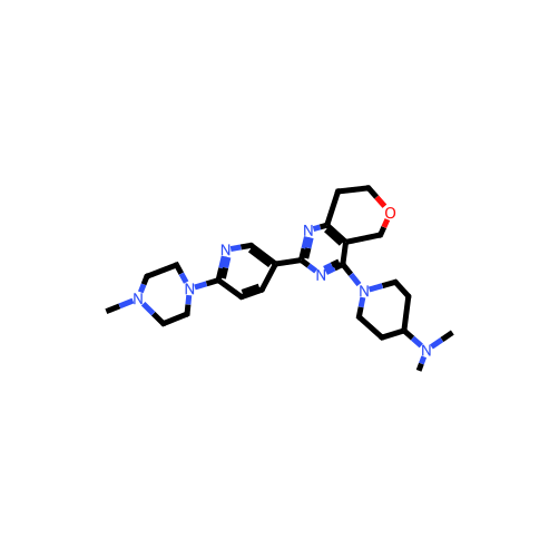 CN1CCN(c2ccc(-c3nc4c(c(N5CCC(N(C)C)CC5)n3)COCC4)cn2)CC1